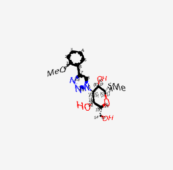 COc1ccccc1-c1cn([C@H]2[C@@H](O)[C@@H](CO)O[C@@H](SC)[C@@H]2O)nn1